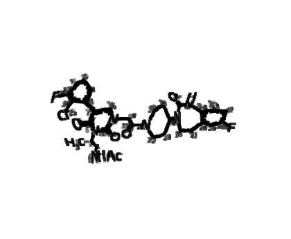 CC(=O)NC[C@H](C)n1c(=O)c(-c2cccc(F)c2Cl)cn(CC(=O)N2CCC(N3CCc4cc(F)ccc4NC3=O)CC2)c1=O